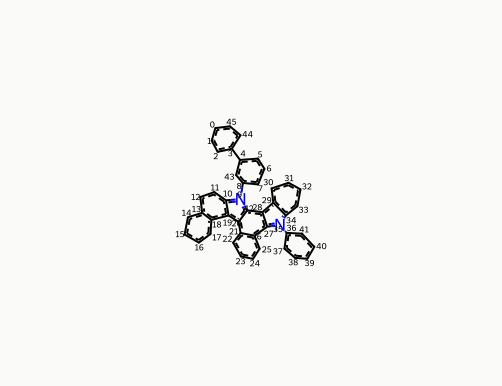 c1ccc(-c2cccc(-n3c4ccc5ccccc5c4c4c5ccccc5c5c(c6ccccc6n5-c5ccccc5)c43)c2)cc1